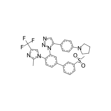 Cc1nc(C(F)(F)F)cn1-c1ccc(-c2cccc(S(C)(=O)=O)c2)cc1-n1nncc1-c1ccc(N2CCCC2)cc1